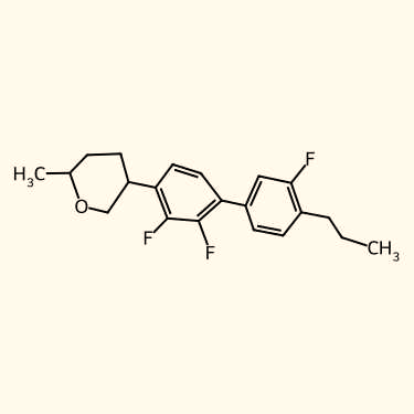 CCCc1ccc(-c2ccc(C3CCC(C)OC3)c(F)c2F)cc1F